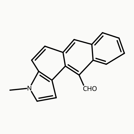 Cn1ccc2c3c(C=O)c4ccccc4cc3ccc21